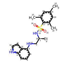 CC[C@@H](CNc1cccc2[nH]ccc12)NS(=O)(=O)c1c(C)cc(C)cc1C